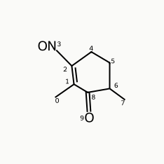 CC1=C(N=O)CCC(C)C1=O